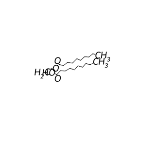 C=COC(=O)CCCCCCCCC.CCCCCCCCCC(=O)O